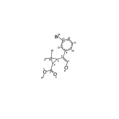 COC(=O)C1C(C(=CCl)c2cccc(Br)c2)C1(C)C